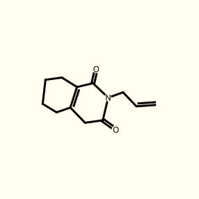 C=CCN1C(=O)CC2=C(CCCC2)C1=O